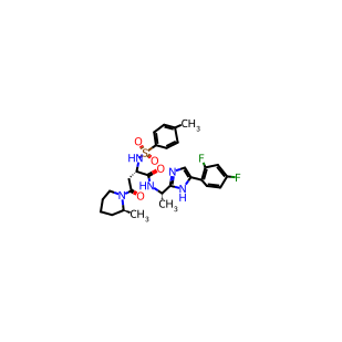 Cc1ccc(S(=O)(=O)N[C@@H](CC(=O)N2CCCC[C@@H]2C)C(=O)N[C@@H](C)c2ncc(-c3ccc(F)cc3F)[nH]2)cc1